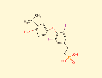 CC(C)c1cc(Oc2c(I)cc(CCP(=O)(O)O)cc2I)ccc1O